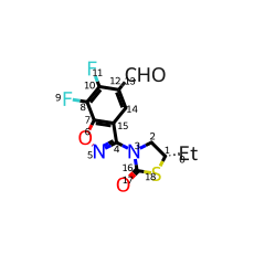 CC[C@H]1CN(c2noc3c(F)c(F)c(C=O)cc23)C(=O)S1